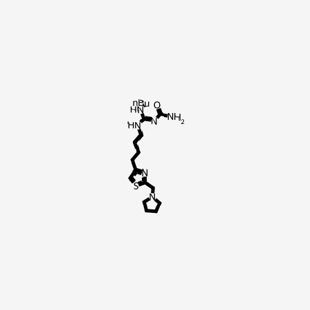 CCCCNC(=NC(N)=O)NCCCCc1csc(CN2CCCC2)n1